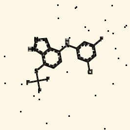 Fc1cc(Cl)cc(Nc2ccc(SC(F)(F)F)c3[nH]ncc23)c1